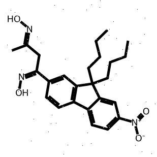 CCCCC1(CCCC)c2cc(/C(C/C(C)=N/O)=N\O)ccc2-c2ccc([N+](=O)[O-])cc21